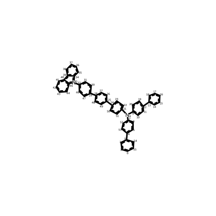 c1ccc(-c2ccc(N(c3ccc(-c4ccccc4)cc3)c3ccc(-c4ccc(-c5ccc(-n6c7ccccc7c7ccccc76)cc5)cc4)cc3)cc2)cc1